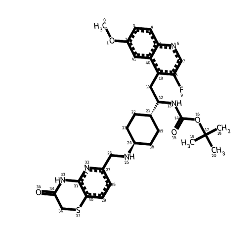 COc1ccc2ncc(F)c(CC(NC(=O)OC(C)(C)C)[C@H]3CC[C@H](NCc4ccc5c(n4)NC(=O)CS5)CC3)c2c1